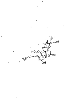 C[C@H](NC(=O)[C@@H](N)CO)C(=O)N[C@@H](CC(=O)O)C(=O)N[C@@H](CC(=O)O)C(=O)N[C@@H](CCCCN)C(=O)O